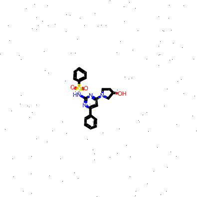 O=S(=O)(Nc1nc(-c2ccccc2)cc(N2CCC(O)C2)n1)c1ccccc1